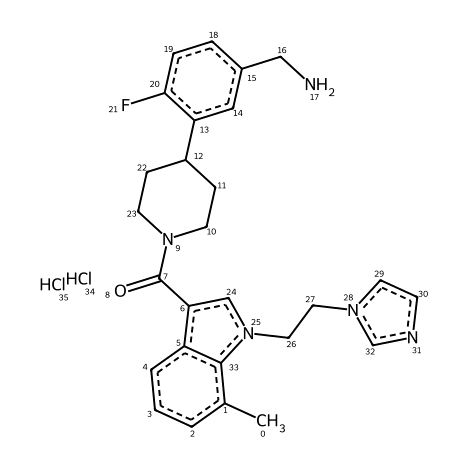 Cc1cccc2c(C(=O)N3CCC(c4cc(CN)ccc4F)CC3)cn(CCn3ccnc3)c12.Cl.Cl